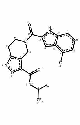 CC(NC(=O)c1onc2c1CN(C(=O)c1cc3c(Cl)cccc3[nH]1)CC2)C(F)(F)F